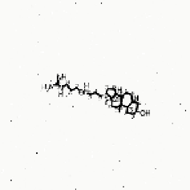 C[C@]12CC[C@H](O)C[C@H]1CC[C@@H]1[C@@H]2CC[C@]2(C)[C@@H](CCCNOCCCNC(=N)N)CC[C@]12O